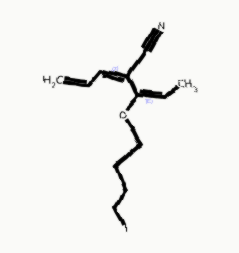 C=C/C=C(C#N)\C(=C/C)OCCCCI